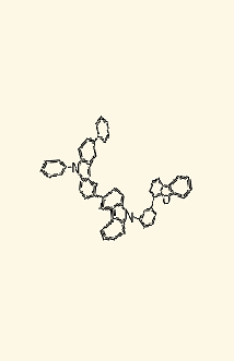 c1ccc(-c2ccc3c(c2)c2cc(-c4ccc5c(c4)c4ccccc4n5-c4cccc(-c5cccc6c5oc5ccccc56)c4)ccc2n3-c2ccccc2)cc1